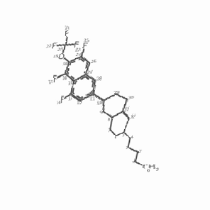 CCCCCC1CCC2CC(c3cc(F)c4c(F)c(OC(F)(F)F)c(F)cc4c3)CCC2C1